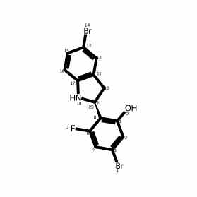 Oc1cc(Br)cc(F)c1[C@@H]1Cc2cc(Br)ccc2N1